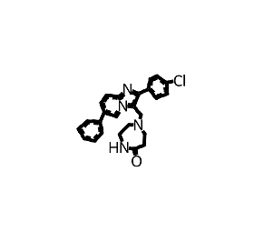 O=C1CCN(Cc2c(-c3ccc(Cl)cc3)nc3ccc(-c4ccccc4)cn23)CCN1